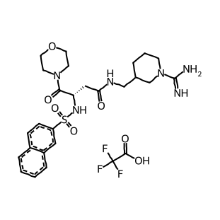 N=C(N)N1CCCC(CNC(=O)C[C@H](NS(=O)(=O)c2ccc3ccccc3c2)C(=O)N2CCOCC2)C1.O=C(O)C(F)(F)F